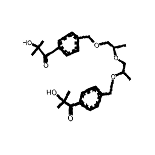 CC(COCc1ccc(C(=O)C(C)(C)O)cc1)OCC(C)OCc1ccc(C(=O)C(C)(C)O)cc1